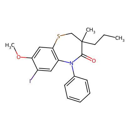 CCCC1(C)CSc2cc(OC)c(I)cc2N(c2ccccc2)C1=O